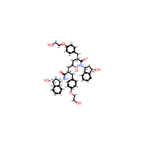 O=C(N[C@H]1C[C@@H](O)c2ccccc21)[C@H](Cc1ccc(OCCO)cc1)CC(O)C[C@@H](Cc1ccc(OCCO)cc1)C(=O)N[C@H]1C[C@@H](O)c2ccccc21